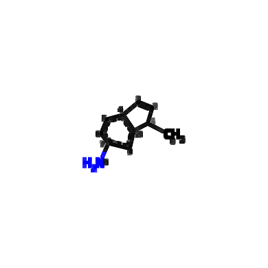 CC1C=Cc2ccc(N)cc21